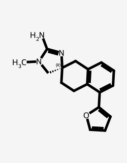 CN1C[C@]2(CCc3c(cccc3-c3ccco3)C2)N=C1N